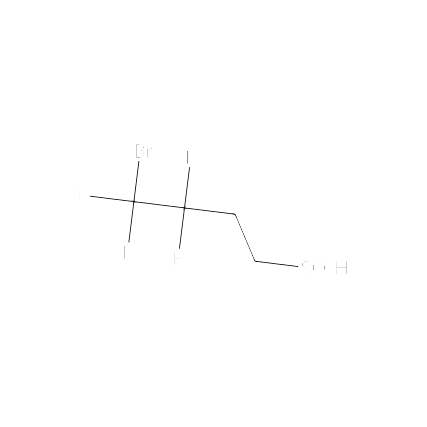 O=S(=O)(O)CCC(F)(F)C(F)(F)Br